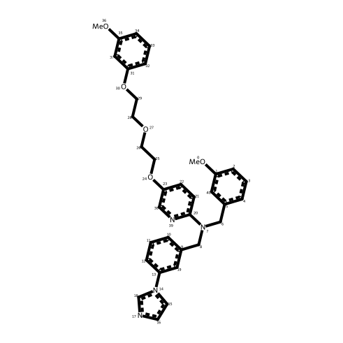 COc1cccc(CN(Cc2cccc(-n3ccnc3)c2)c2ccc(OCCOCCOc3cccc(OC)c3)cn2)c1